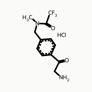 CN(Cc1ccc(C(=O)CN)cc1)C(=O)C(F)(F)F.Cl